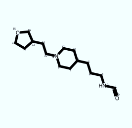 O=[C]NCCCC1CCN(CCC2CCOC2)CC1